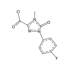 Cn1c(C(=O)Cl)nn(-c2ccc(F)cc2)c1=O